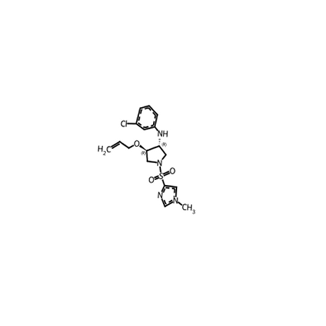 C=CCO[C@@H]1CN(S(=O)(=O)c2cn(C)cn2)C[C@H]1Nc1cccc(Cl)c1